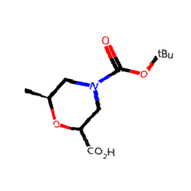 C[C@H]1CN(C(=O)OC(C)(C)C)CC(C(=O)O)O1